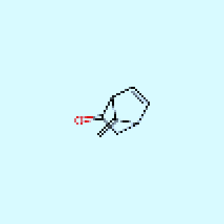 C=C1C2C=CC1C(=O)C2